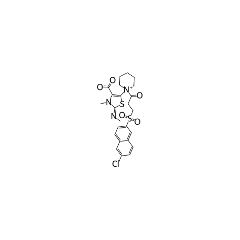 C/N=c1\sc([N+]2(C(=O)CCS(=O)(=O)c3ccc4cc(Cl)ccc4c3)CCCCC2)c(C(=O)[O-])n1C